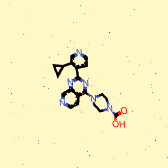 O=C(O)N1CCN(c2nc(-c3ccncc3C3CC3)nc3cnccc23)CC1